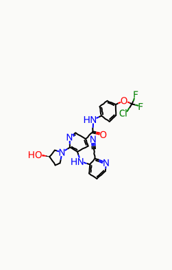 N#Cc1ncccc1Nc1cc(C(=O)Nc2ccc(OC(F)(F)Cl)cc2)cnc1N1CC[C@@H](O)C1